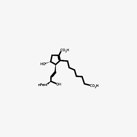 CCCCC[C@H](O)/C=C/[C@@H]1C(CCCCCCC(=O)O)=C(C(=O)O)C[C@H]1O